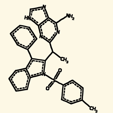 Cc1ccc(S(=O)(=O)n2c(C(C)c3nc(N)c4nc[nH]c4n3)c(-c3ccccc3)c3ccccc32)cc1